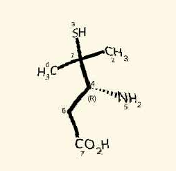 CC(C)(S)[C@H](N)CC(=O)O